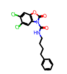 O=C(NCCCCc1ccccc1)n1c(=O)oc2cc(Cl)c(Cl)cc21